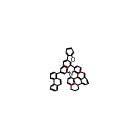 c1cc(-c2cccc3c2ccc2ccccc23)cc(N(c2ccccc2-c2cccc3c2oc2ccccc23)c2ccccc2-c2cccc3cccc(C4CCCCC4)c23)c1